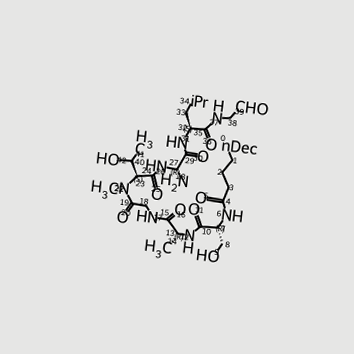 CCCCCCCCCCCCCC(=O)N[C@H](CO)C(=O)N[C@H](C)C(=O)NCC(=O)N(C)[C@H](C(=O)N[C@@H](N)C(=O)N[C@@H](CC(C)C)C(=O)NCC=O)C(C)O